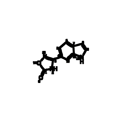 O=c1[nH]c(-c2ccc3cc[nH]c3c2)no1